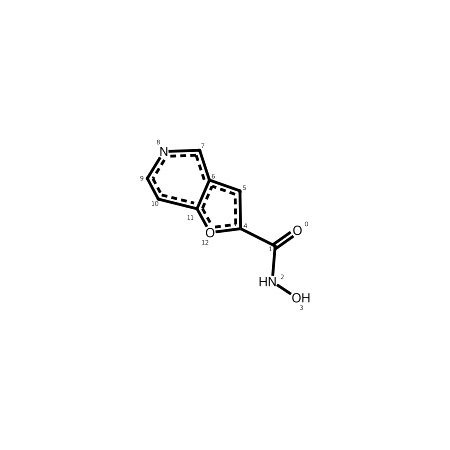 O=C(NO)c1cc2cnccc2o1